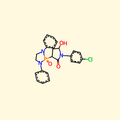 O=C1C(P2(=O)N(c3ccccc3)CCN2c2ccccc2)CC(O)N1c1ccc(Cl)cc1